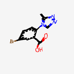 Cc1nncn1-c1ccc(Br)cc1C(=O)O